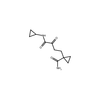 NC(=O)C1(C[CH]C(=O)C(=O)NC2CC2)CC1